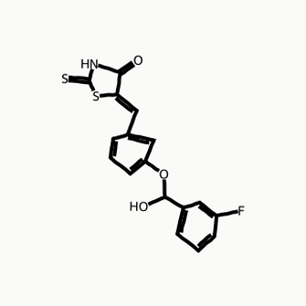 O=C1NC(=S)S/C1=C\c1cccc(OC(O)c2cccc(F)c2)c1